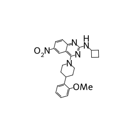 COc1ccccc1C1CCN(c2nc(NC3CCC3)nc3ccc([N+](=O)[O-])cc23)CC1